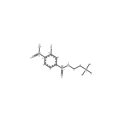 C[N+](C)(C)CCO[PH](=O)c1ccc([N+](=O)[O-])c(F)c1